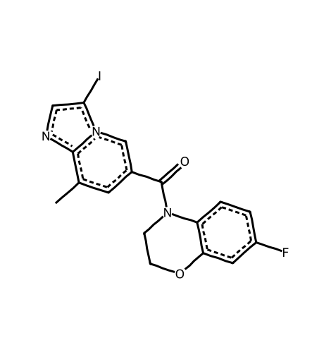 Cc1cc(C(=O)N2CCOc3cc(F)ccc32)cn2c(I)cnc12